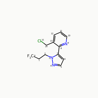 FC(F)(F)CCn1nccc1-c1ncccc1CCl